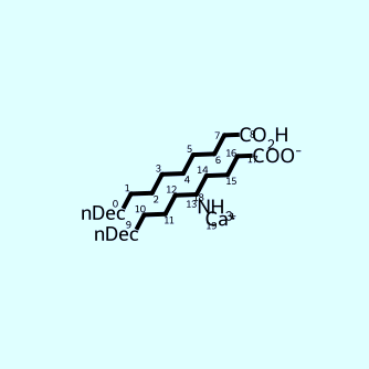 CCCCCCCCCCCCCCCCCC(=O)O.CCCCCCCCCCCCCCCCCC(=O)[O-].N.[Ca+]